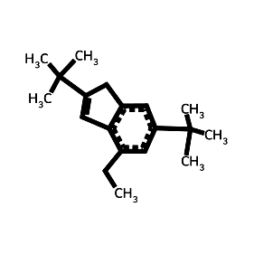 CCc1cc(C(C)(C)C)cc2c1C=C(C(C)(C)C)C2